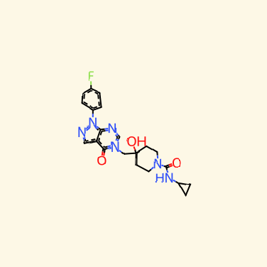 O=C(NC1CC1)N1CCC(O)(Cn2cnc3c(cnn3-c3ccc(F)cc3)c2=O)CC1